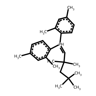 Cc1ccc([PH](=CC(C)(C)CC(C)(C)C)c2ccc(C)cc2C)c(C)c1